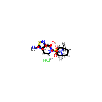 CCc1cc(C(=O)NC2C[C@H]3CC[C@@H](C2)N3S(=O)(=O)N2CCC(N)CC2)ns1.Cl